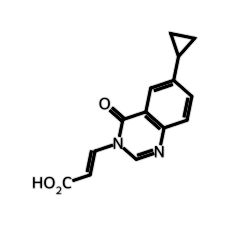 O=C(O)C=Cn1cnc2ccc(C3CC3)cc2c1=O